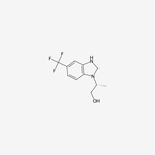 C[C@H](CO)N1[CH]Nc2cc(C(F)(F)F)ccc21